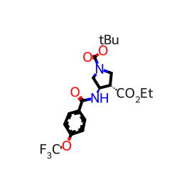 CCOC(=O)[C@H]1CN(C(=O)OC(C)(C)C)C[C@@H]1NC(=O)c1ccc(OC(F)(F)F)cc1